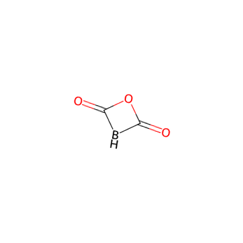 O=C1BC(=O)O1